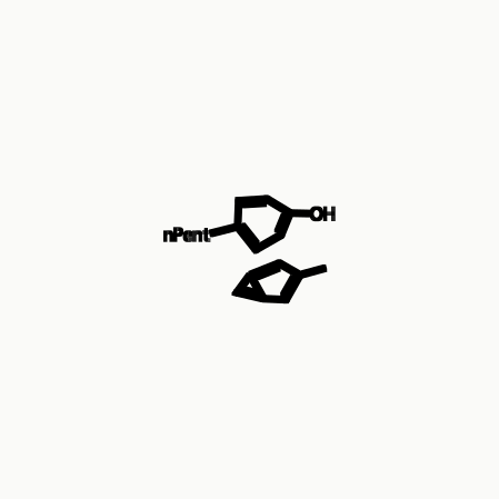 CCCCCc1ccc(O)cc1.Cc1cc2cc-2c1